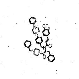 O=C([C@H](Cc1ccccc1)N(Cc1ccc(N2CCN(c3ccccc3)CC2)cc1)C(=O)C=Cc1ccc(C(F)(F)F)cc1)N1CCN(Cc2ccccc2)CC1